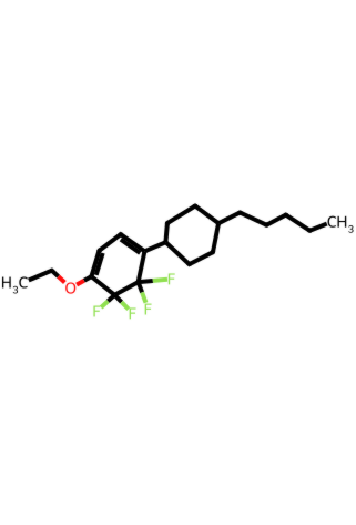 CCCCCC1CCC(C2=CC=C(OCC)C(F)(F)C2(F)F)CC1